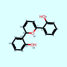 Oc1ccccc1C1=CC=CC(c2ccccc2O)O1